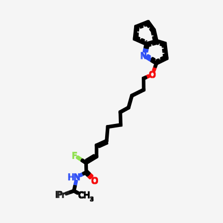 CC(C)C(C)NC(=O)/C(F)=C/C=C/CCCCCCCOc1ccc2ccccc2n1